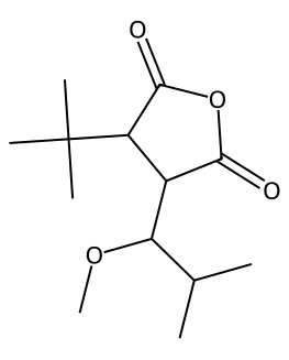 COC(C(C)C)C1C(=O)OC(=O)C1C(C)(C)C